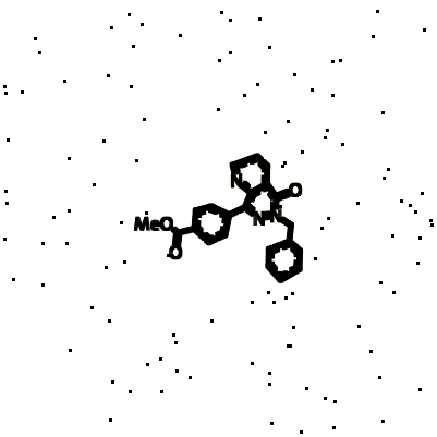 COC(=O)c1ccc(-c2nn(Cc3ccccc3)c(=O)c3cccnc23)cc1